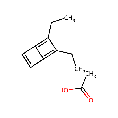 CC(=O)O.CCc1c2ccc-2c1CC